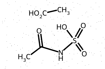 CC(=O)NS(=O)(=O)O.CC(=O)O